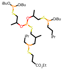 CCOC(=O)CCSP(CC(C)C)CC(C)CSP(OC(C)CSP(CCC(C)C)OCC(C)C)OC(C)CSP(OCC(C)C)OCC(C)C